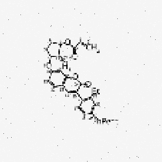 C=CC(=O)OC1CCC(Oc2ccc3cc(-c4ccc(CCCCC)cc4CC)c(=O)oc3c2)C1C